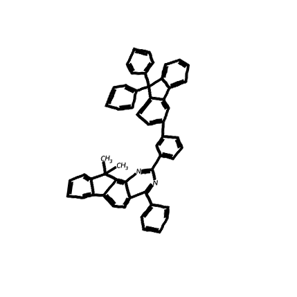 CC1(C)c2ccccc2-c2ccc3c(-c4ccccc4)nc(-c4cccc(-c5ccc6c(c5)-c5ccccc5C6(c5ccccc5)c5ccccc5)c4)nc3c21